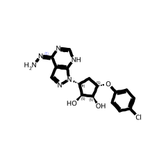 N/N=c1/nc[nH]c2c1cnn2[C@@H]1C[C@H](Oc2ccc(Cl)cc2)[C@@H](O)[C@H]1O